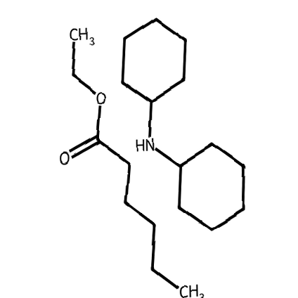 C1CCC(NC2CCCCC2)CC1.CCCCCC(=O)OCC